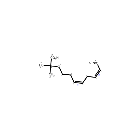 CCCCC/C=C\C/C=C\CCOC(C)(C)C(=O)O